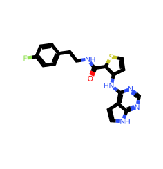 O=C(NCCc1ccc(F)cc1)C1SC=CC1Nc1ncnc2[nH]ccc12